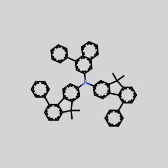 CC1(C)c2cc(N(c3ccc4c(c3)C(C)(C)c3cccc(-c5ccccc5)c3-4)c3cc(-c4ccccc4)c4ccccc4c3)ccc2-c2c(-c3ccccc3)cccc21